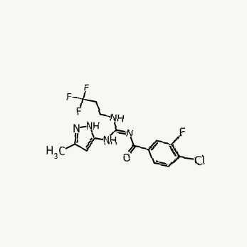 Cc1cc(N/C(=N\C(=O)c2ccc(Cl)c(F)c2)NCCC(F)(F)F)[nH]n1